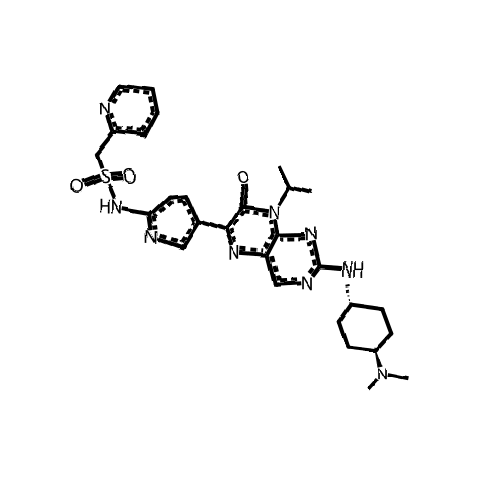 CC(C)n1c(=O)c(-c2ccc(NS(=O)(=O)Cc3ccccn3)nc2)nc2cnc(N[C@H]3CC[C@H](N(C)C)CC3)nc21